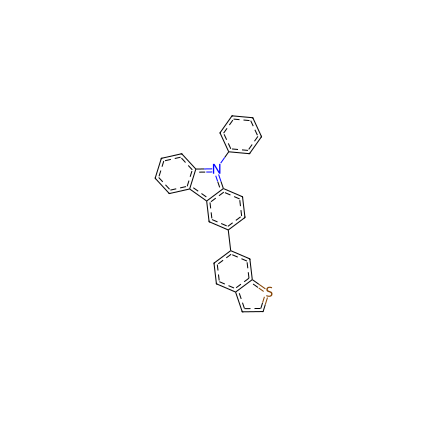 c1ccc(-n2c3ccccc3c3cc(-c4ccc5ccsc5c4)ccc32)cc1